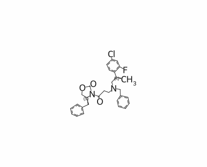 C[C@@H](CN(CCC(=O)N1C(=O)OC[C@@H]1Cc1ccccc1)Cc1ccccc1)c1ccc(Cl)cc1F